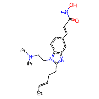 CCC=CCCc1nc2cc(/C=C/C(=O)NO)ccc2n1CCN(C(C)C)C(C)C